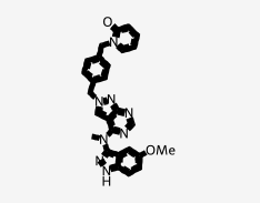 COc1ccc2[nH]nc(N(C)c3ncnc4nn(Cc5ccc(Cn6ccccc6=O)cc5)cc34)c2c1